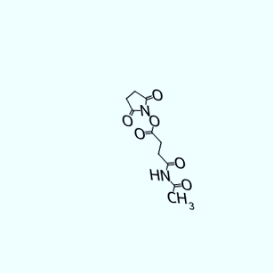 CC(=O)NC(=O)CCC(=O)ON1C(=O)CCC1=O